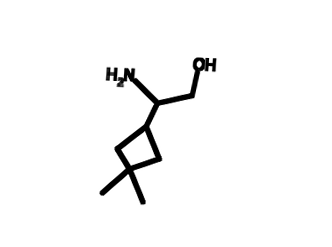 CC1(C)CC(C(N)CO)C1